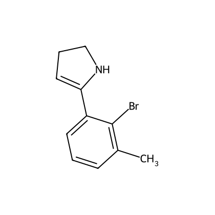 Cc1cccc(C2=CCCN2)c1Br